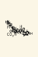 C[C@@H](NC(=O)Cn1cnnn1)[C@H]1C(=O)N2C(C(=O)O)=C(S[C@@H]3CN[C@H](C(=O)N4CCC5CNCCC54)C3)[C@H](C)[C@H]12